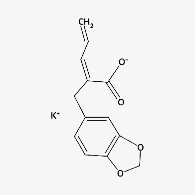 C=CC=C(Cc1ccc2c(c1)OCO2)C(=O)[O-].[K+]